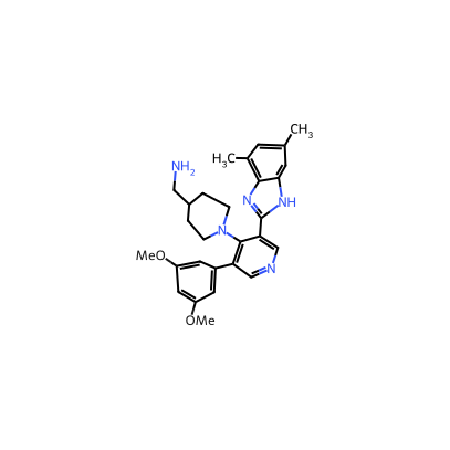 COc1cc(OC)cc(-c2cncc(-c3nc4c(C)cc(C)cc4[nH]3)c2N2CCC(CN)CC2)c1